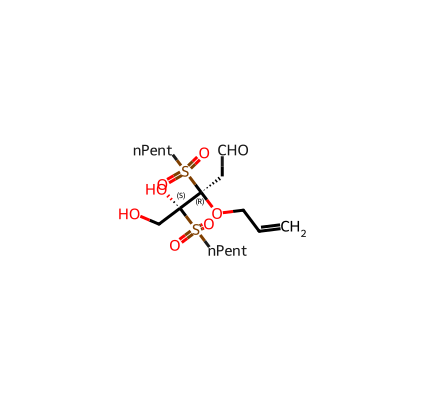 C=CCO[C@@](CC=O)([C@](O)(CO)S(=O)(=O)CCCCC)S(=O)(=O)CCCCC